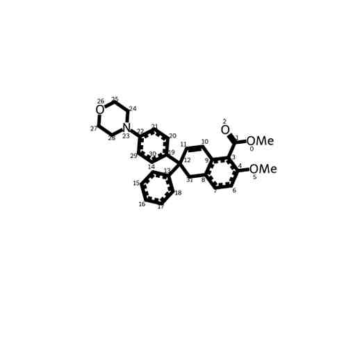 COC(=O)c1c(OC)ccc2c1C=CC(c1ccccc1)(c1ccc(N3CCOCC3)cc1)C2